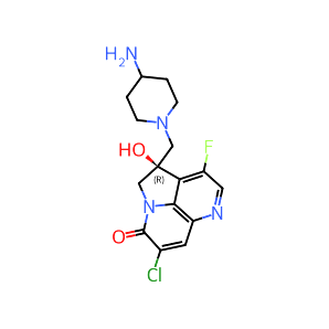 NC1CCN(C[C@@]2(O)Cn3c(=O)c(Cl)cc4ncc(F)c2c43)CC1